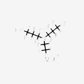 O=C(O)C(F)(F)C(F)(F)N(C(F)(F)C(F)(F)C(F)(F)C(F)(F)F)C(F)(F)C(F)(F)C(F)(F)C(F)(F)F.[MgH2]